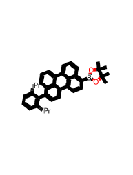 CC(C)c1cccc(C(C)C)c1-c1ccc2c3ccc(B4OC(C)(C)C(C)(C)O4)c4cccc(c5cccc1c52)c43